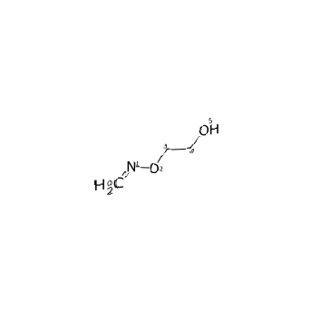 C=NOCCO